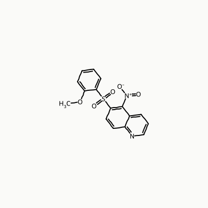 COc1ccccc1S(=O)(=O)c1ccc2ncccc2c1[N+](=O)[O-]